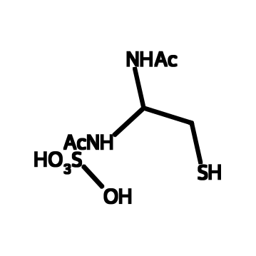 CC(=O)NC(CS)NC(C)=O.O=S(=O)(O)O